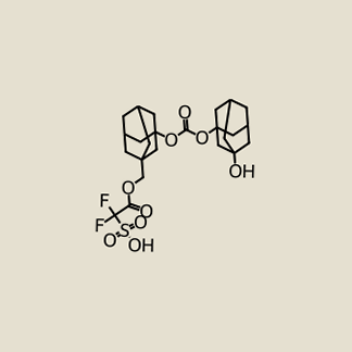 O=C(OC12CC3CC(CC(O)(C3)C1)C2)OC12CC3CC(CC(COC(=O)C(F)(F)S(=O)(=O)O)(C3)C1)C2